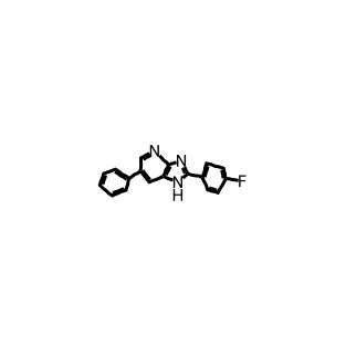 Fc1ccc(-c2nc3ncc(-c4ccccc4)cc3[nH]2)cc1